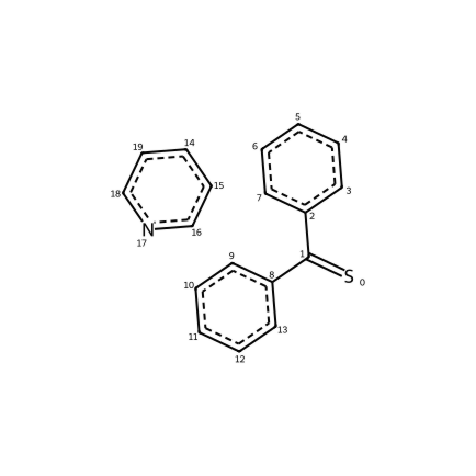 S=C(c1ccccc1)c1ccccc1.c1ccncc1